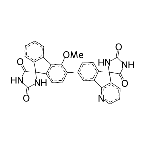 COc1c(-c2ccc3c(c2)-c2ncccc2C32NC(=O)NC2=O)ccc2c1-c1ccccc1C21NC(=O)NC1=O